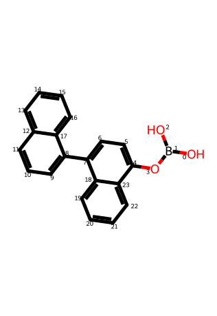 OB(O)Oc1ccc(-c2cccc3ccccc23)c2ccccc12